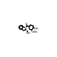 COC1CC(C(=O)N2c3ccccc3C[C@H]2C=N)=CC=C1O